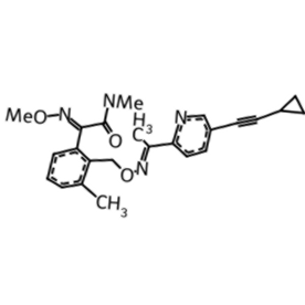 CNC(=O)/C(=N/OC)c1cccc(C)c1CO/N=C(\C)c1ccc(C#CC2CC2)cn1